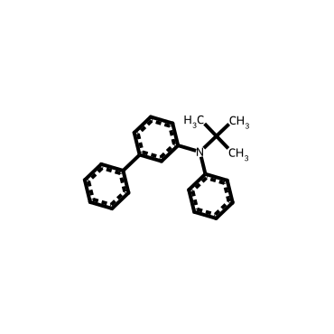 CC(C)(C)N(c1ccccc1)c1cccc(-c2ccccc2)c1